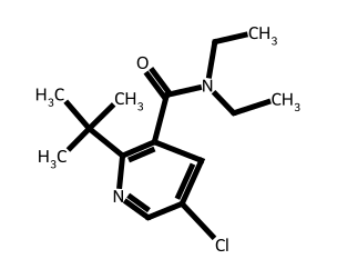 CCN(CC)C(=O)c1cc(Cl)cnc1C(C)(C)C